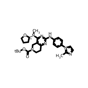 Cc1nccn1-c1ccc(Nc2nc3c(c(N(C)[C@@H]4CCCO4)n2)CN(C(=O)OC(C)(C)C)CC3)cc1